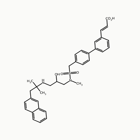 CN(CC(O)CNC(C)(C)Cc1ccc2ccccc2c1)S(=O)(=O)Cc1ccc(-c2cccc(C=CC(=O)O)c2)cc1